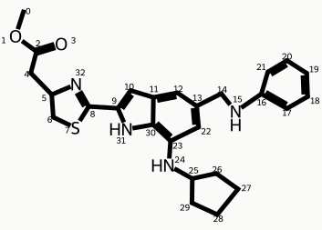 COC(=O)CC1CSC(c2cc3cc(CNc4ccccc4)cc(NC4CCCC4)c3[nH]2)=N1